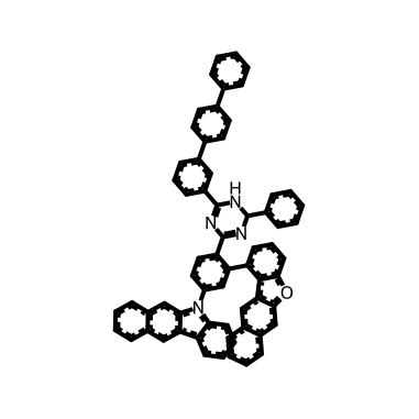 c1ccc(-c2ccc(-c3cccc(C4=NC(c5ccc(-n6c7ccccc7c7cc8ccccc8cc76)cc5-c5cccc6oc7cc8ccccc8cc7c56)=NC(c5ccccc5)N4)c3)cc2)cc1